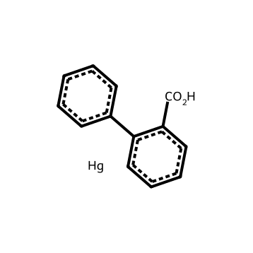 O=C(O)c1ccccc1-c1ccccc1.[Hg]